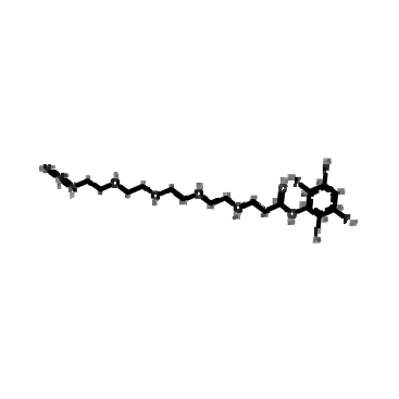 [N-]=[N+]=NCCOCCOCCOCCOCCC(=O)Oc1c(F)c(F)cc(F)c1F